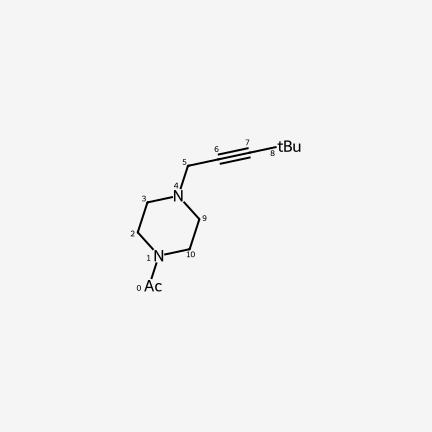 CC(=O)N1CCN(CC#CC(C)(C)C)CC1